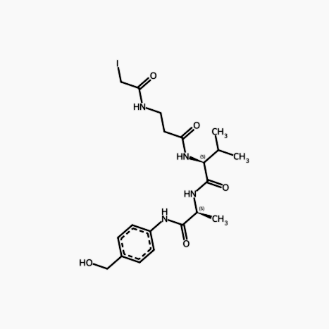 CC(C)[C@H](NC(=O)CCNC(=O)CI)C(=O)N[C@@H](C)C(=O)Nc1ccc(CO)cc1